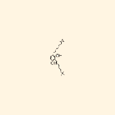 CC(C)(C)CCCCCCc1c(O)ccc(CCCCCCC2(C)CC2)c1O